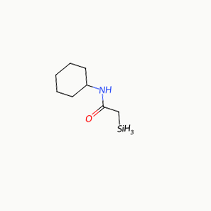 O=C(C[SiH3])NC1CCCCC1